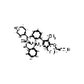 Cc1c(-c2cccc(N(C3CCNCC3)S(=O)(=O)Cc3ccccc3[N+](=O)[O-])c2)sc(C(=O)O)c1OCC(=O)O